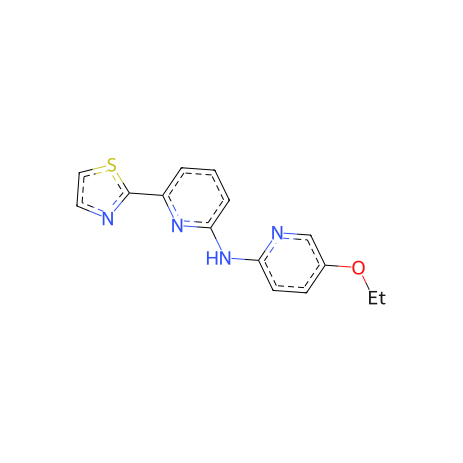 CCOc1ccc(Nc2cccc(-c3nccs3)n2)nc1